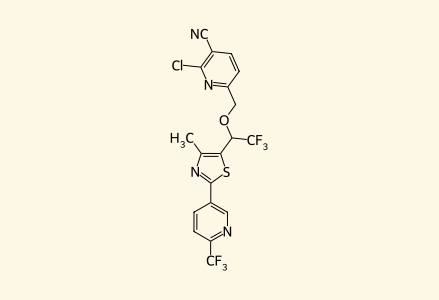 Cc1nc(-c2ccc(C(F)(F)F)nc2)sc1C(OCc1ccc(C#N)c(Cl)n1)C(F)(F)F